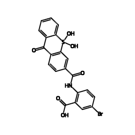 O=C(Nc1ccc(Br)cc1C(=O)O)c1ccc2c(c1)S(O)(O)c1ccccc1C2=O